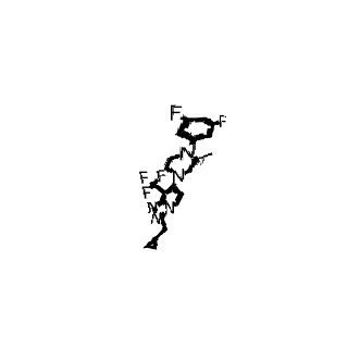 C[C@H]1CN(c2ccn3c(CC4CC4)nnc3c2C(F)(F)F)CCN1c1cc(F)cc(F)c1